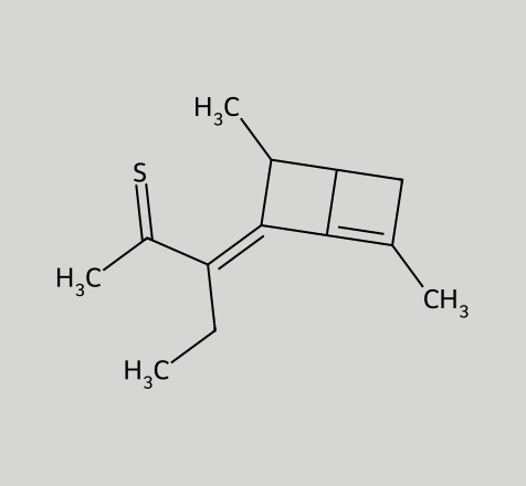 CC/C(C(C)=S)=C1\C2=C(C)CC2C1C